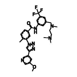 COc1cncc(-c2cn(-c3cc(C(=O)Nc4cc(CN(C)CCN(C)C)cc(C(F)(F)F)c4)ccc3C)nn2)c1